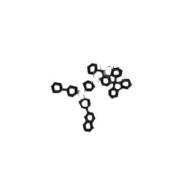 CC1(C)c2ccccc2N(c2ccc(N(C3=CCC(c4ccc5ccccc5c4)C=C3)c3ccc(-c4ccccc4)cc3)cc2)c2ccc(C3(c4ccccc4)c4ccccc4-c4ccccc43)cc21